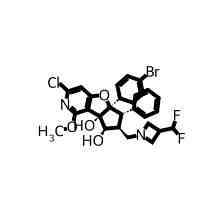 COc1nc(Cl)cc2c1[C@]1(O)[C@H](O)[C@H](CN3CC(C(F)F)C3)[C@@H](c3ccccc3)[C@]1(C1C=CC(Br)=CC1)O2